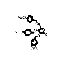 COc1ccc(COC[C@H]2SC(O)[C@@H](OCc3ccc(OC)cc3)[C@@H]2OCc2ccc(OC)cc2)cc1